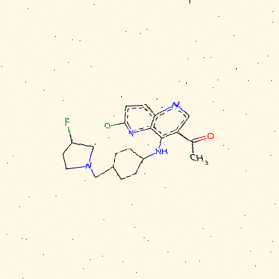 CC(=O)c1cnc2ccc(Cl)nc2c1NC1CCC(CN2CCC(F)C2)CC1